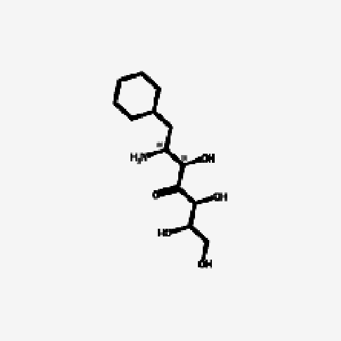 N[C@@H](CC1CCCCC1)[C@@H](O)C(=O)C(O)C(O)CO